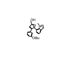 CC(C)COc1cccc(-c2cc(CO)nn2-c2cccc3cnn(C)c23)c1